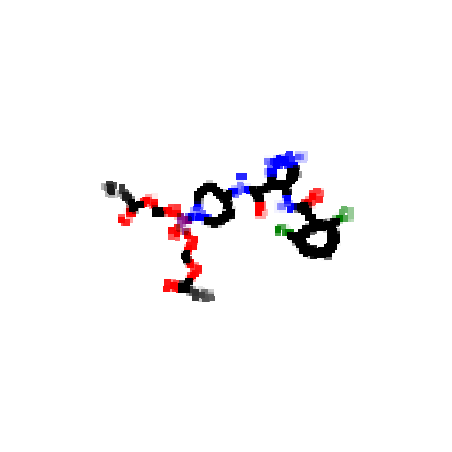 CC(C)(C)C(=O)OCOP(=O)(OCOC(=O)C(C)(C)C)N1CCC(NC(=O)c2n[nH]cc2NC(=O)c2c(Cl)cccc2Cl)CC1